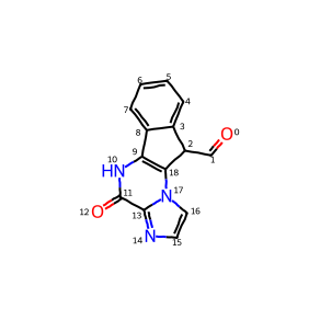 O=CC1c2ccccc2-c2[nH]c(=O)c3nccn3c21